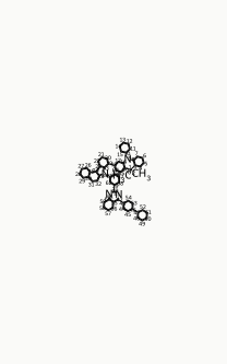 CC1(C)c2ccccc2N(c2ccccc2)c2cc(-c3cccc4c5c6ccccc6ccc5n(-c5cccc(-c6nc(-c7ccc(-c8ccccc8)cc7)c7ccccc7n6)c5)c34)ccc21